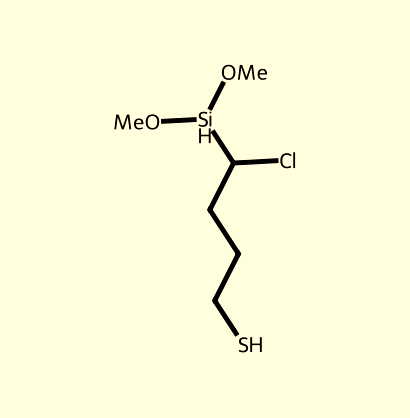 CO[SiH](OC)C(Cl)CCCS